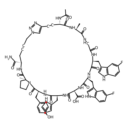 CC(=O)N[C@H]1CCc2cn(nn2)CCCC[C@@H](C(N)=O)NC(=O)[C@]2(C)CCCN2C(=O)[C@H](Cc2ccc(O)cc2)NC(=O)[C@H](Cc2cnc[nH]2)NC(=O)[C@H](C(=O)O)NC(=O)[C@H](Cc2c[nH]c3ccc(F)cc23)NC(=O)[C@H](Cc2c[nH]c3ccc(F)cc23)NC(=O)CNC(=O)[C@H](C)NC1=O